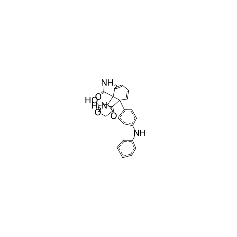 NC(=O)C1(c2ccc(Nc3ccccc3)cc2)C=CC=CC1(C(N)=O)C1CCOC1O